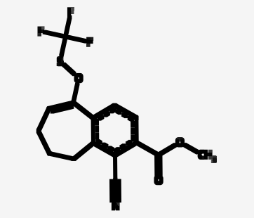 COC(=O)c1ccc2c(c1C#N)CCCC=C2OSC(F)(F)F